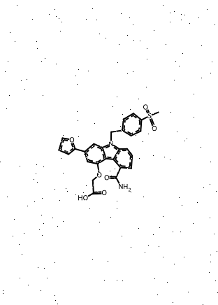 CS(=O)(=O)c1ccc(Cn2c3cc(-c4ccco4)cc(OCC(=O)O)c3c3c(C(N)=O)cccc32)cc1